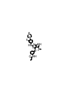 C=CC(=O)Nc1cccc(Oc2nc(Nc3ccc(N4CCN(C)CC4)c(F)c3)nc3[nH]cc(N(C)C)c23)c1